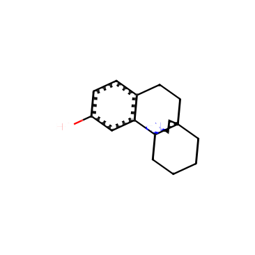 Oc1ccc2c(c1)C13CCCCC1(CCN3)CC2